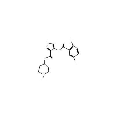 CN1CCC(NC(=O)c2n[nH]cc2NC(=O)c2cc(Cl)ccc2Cl)CC1